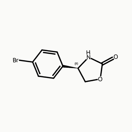 O=C1N[C@H](c2ccc(Br)cc2)CO1